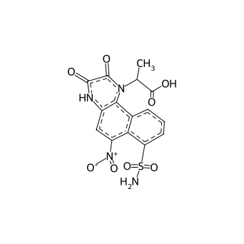 CC(C(=O)O)n1c(=O)c(=O)[nH]c2cc([N+](=O)[O-])c3c(S(N)(=O)=O)cccc3c21